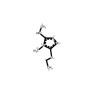 CCOc1nnc(NC)n1C